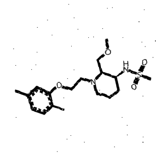 COCC1[C@@H](NS(C)(=O)=O)CCCN1CCOc1cc(C)ccc1C